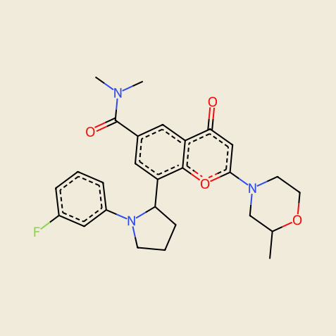 CC1CN(c2cc(=O)c3cc(C(=O)N(C)C)cc(C4CCCN4c4cccc(F)c4)c3o2)CCO1